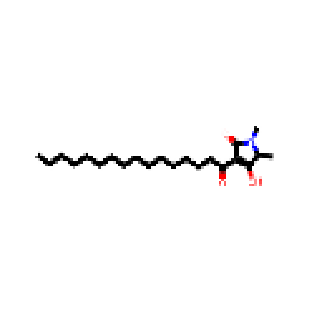 CCCCCCCCCCCCCCCC(=O)C1=C(O)C(C)N(C)C1=O